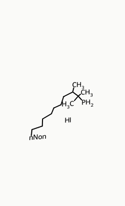 CCCCCCCCCCCCCCCCC(C)C(C)(C)P.I